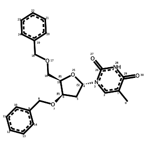 Cc1cn([C@@H]2C[C@@H](OCc3ccccc3)[C@@H](COCc3ccccc3)O2)c(=O)[nH]c1=O